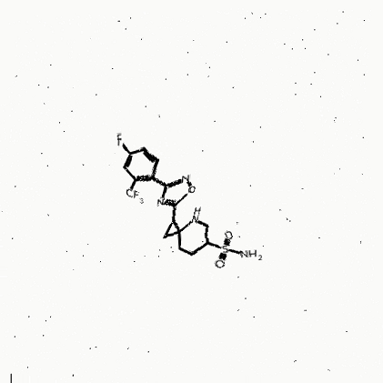 NS(=O)(=O)C1CCC2(CC2c2nc(-c3ccc(F)cc3C(F)(F)F)no2)NC1